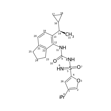 CC(C)c1coc(S(=N)(=O)NC(=O)Nc2c([C@H](C)C3CC3)ccc3c2CCC3)c1